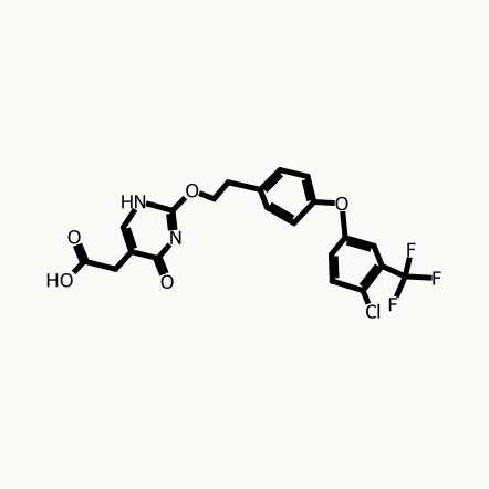 O=C(O)Cc1c[nH]c(OCCc2ccc(Oc3ccc(Cl)c(C(F)(F)F)c3)cc2)nc1=O